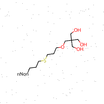 CCCCCCCCCCCCSCCCOCC(CO)(CO)CO